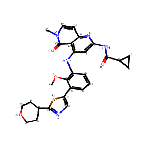 COc1c(Nc2cc(NC(=O)C3CC3)nc3ccn(C)c(=O)c23)cccc1-c1cnc(C2CCOCC2)s1